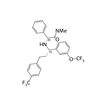 CNC(=O)[C@H](N[C@@H](CCc1ccc(C(F)(F)F)cc1)c1cccc(OC(F)(F)F)c1)c1ccccc1